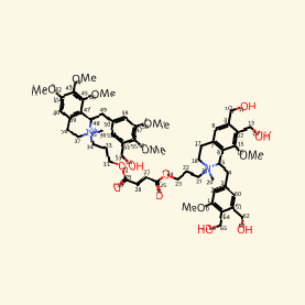 COc1cc(CC2c3c(cc(CO)c(CO)c3OC)CC[N+]2(C)CCCOC(=O)CCC(=O)OCCC[N+]2(C)CCc3cc(OC)c(OC)c(OC)c3C2Cc2cc(CO)c(OC)c(OC)c2)cc(CO)c1CO